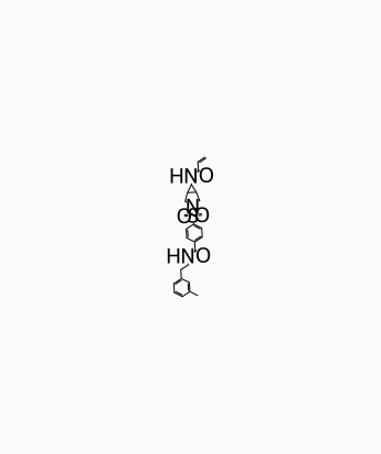 C=CC(=O)NC1C2CN(S(=O)(=O)c3ccc(C(=O)NCCc4cccc(C)c4)cc3)CC21